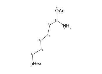 CCCCCCCCCCCC(N)OC(C)=O